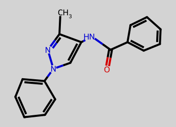 Cc1nn(-c2ccccc2)cc1NC(=O)c1ccccc1